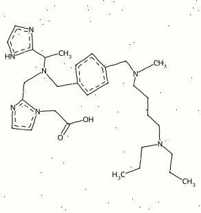 CCCN(CCC)CCCCN(C)Cc1ccc(CN(Cc2nccn2CC(=O)O)C(C)c2ncc[nH]2)cc1